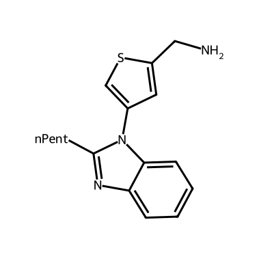 CCCCCc1nc2ccccc2n1-c1csc(CN)c1